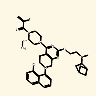 C=C(F)C(=O)N1CCN(c2nc(OCCN(C)C3CC4CC3C4)nc3c2CCN(c2cccc4cccc(Cl)c24)C3)C[C@@H]1CC#N